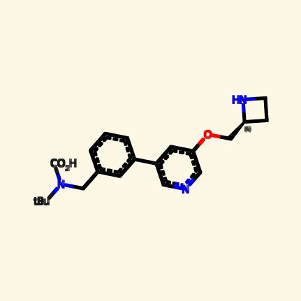 CC(C)(C)N(Cc1cccc(-c2cncc(OC[C@@H]3CCN3)c2)c1)C(=O)O